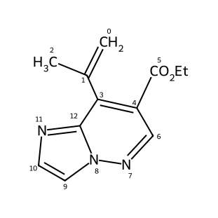 C=C(C)c1c(C(=O)OCC)cnn2ccnc12